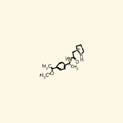 C=C(OC)c1ccc([C@H](C)NC(=O)C[C@H]2CCCN2)cc1